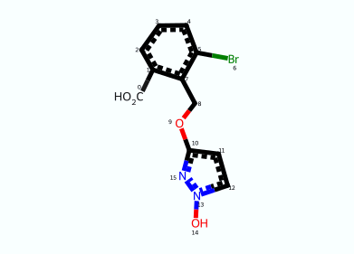 O=C(O)c1cccc(Br)c1COc1ccn(O)n1